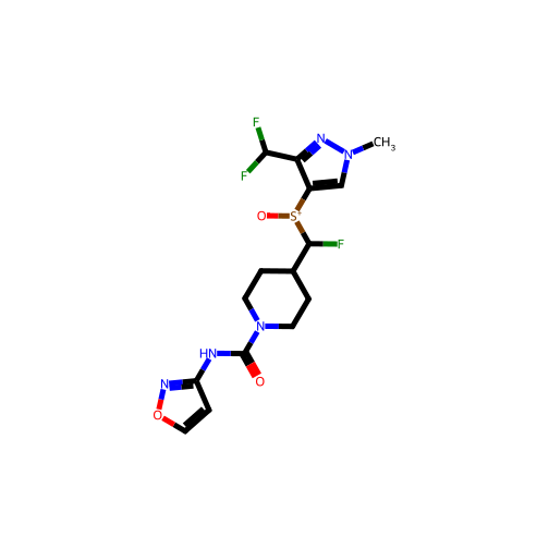 Cn1cc([S+]([O-])C(F)C2CCN(C(=O)Nc3ccon3)CC2)c(C(F)F)n1